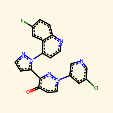 O=c1ccn(-c2cncc(Cl)c2)nc1-c1ccnn1-c1ccnc2ccc(F)cc12